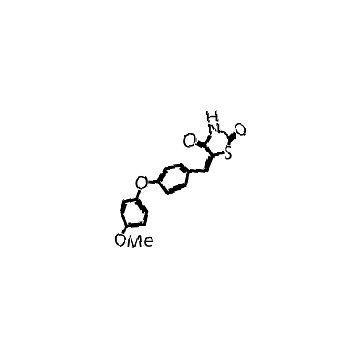 COc1ccc(Oc2ccc(/C=C3/SC(=O)NC3=O)cc2)cc1